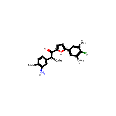 CNc1ccc(C(OC)C(=O)c2ccc(-c3cc(OC)c(Br)c(OC)c3)o2)cc1N